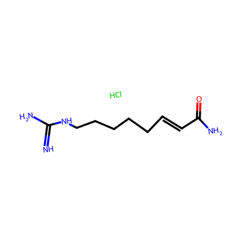 Cl.N=C(N)NCCCCCC=CC(N)=O